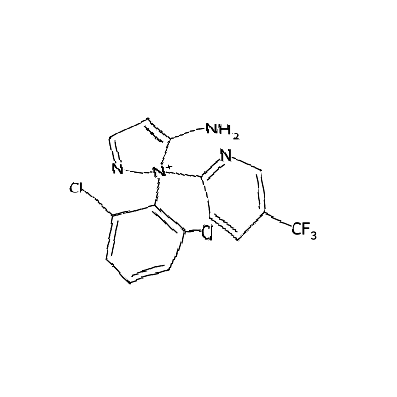 NC1=CC=N[N+]1(c1ccc(C(F)(F)F)cn1)c1c(Cl)cccc1Cl